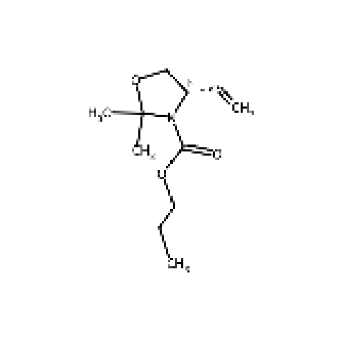 C=C[C@H]1COC(C)(C)N1C(=O)OCCC